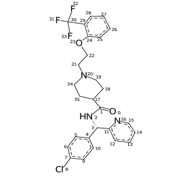 O=C(N[C@@H](c1ccc(Cl)cc1)c1ccccn1)C1CCN(CCOc2ccccc2C(F)(F)F)CC1